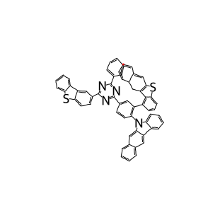 C1=CC2=Cc3sc4cccc(-c5cc(-c6nc(-c7ccccc7)nc(-c7ccc8sc9ccccc9c8c7)n6)ccc5-n5c6ccccc6c6cc7ccccc7cc65)c4c3CC2C=C1